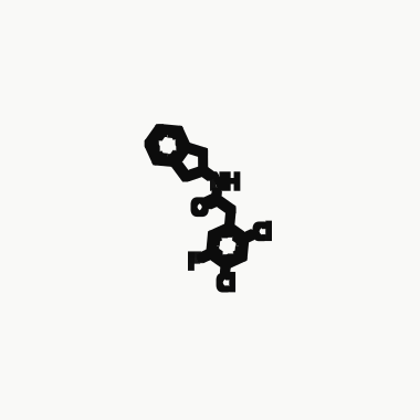 O=C(Cc1cc(F)c(Cl)cc1Cl)NC1Cc2ccccc2C1